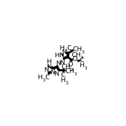 CCOC(=O)c1c(C(C)(C)C)n[nH]c1N=Nc1c(C(C)(C)C)nn2c(C)n[nH]c12